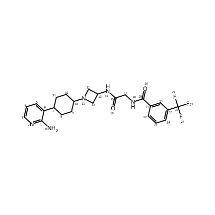 Nc1ncccc1C1CCC(N2CC(NC(=O)CNC(=O)c3cccc(C(F)(F)F)c3)C2)CC1